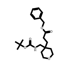 CC(C)(C)OC(=O)NCC1(CCC(=O)OCc2ccccc2)CCOCC1